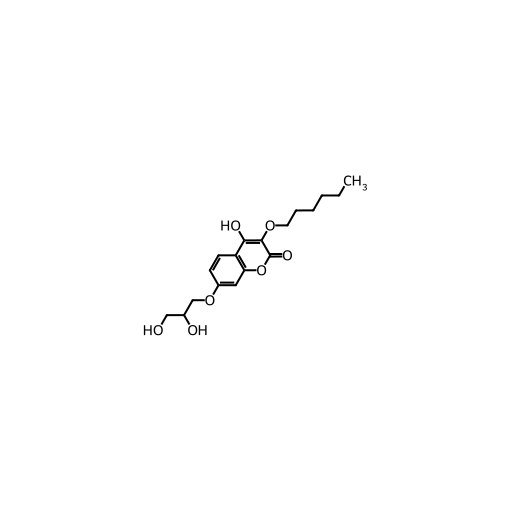 CCCCCCOc1c(O)c2ccc(OCC(O)CO)cc2oc1=O